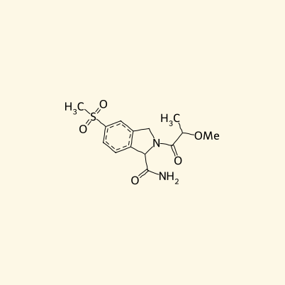 COC(C)C(=O)N1Cc2cc(S(C)(=O)=O)ccc2C1C(N)=O